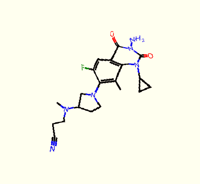 Cc1c(N2CCC(N(C)CCC#N)C2)c(F)cc2c(=O)n(N)c(=O)n(C3CC3)c12